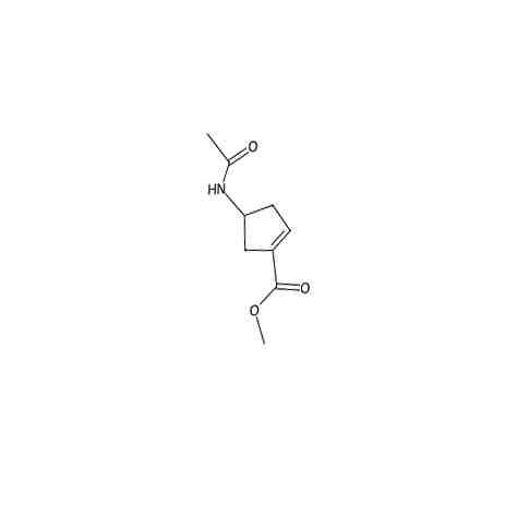 COC(=O)C1=CCC(NC(C)=O)C1